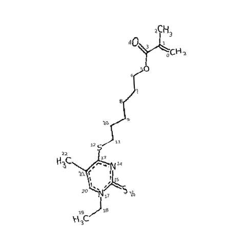 C=C(C)C(=O)OCCCCCCSc1nc(=S)n(CC)cc1C